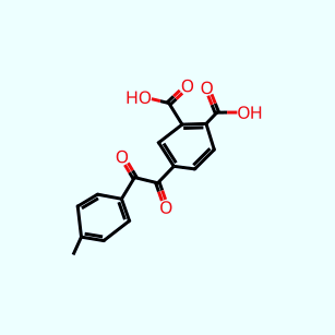 Cc1ccc(C(=O)C(=O)c2ccc(C(=O)O)c(C(=O)O)c2)cc1